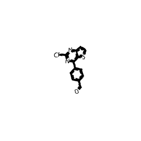 O=Cc1ccc(-c2nc(Cl)nc3ccsc23)cc1